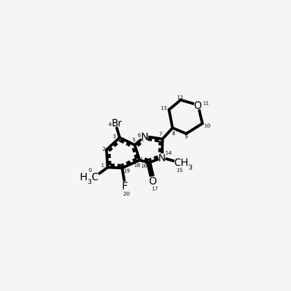 Cc1cc(Br)c2nc(C3CCOCC3)n(C)c(=O)c2c1F